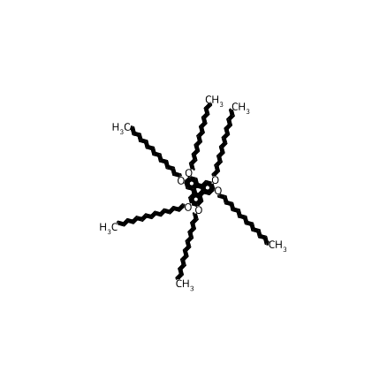 CCCCCCCCCCCCCCCCOc1cc2c3cc(OCCCCCCCCCCCCCCCC)c(OCCCCCCCCCCCCCCCC)cc3c3cc(OCCCCCCCCCCCCCCCC)c(OCCCCCCCCCCCCCCCC)cc3c2cc1OCCCCCCCCCCCCCCCC